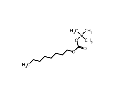 CCCCCCCCOC(=O)O[Si](C)(C)C